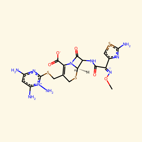 CO/N=C(\C(=O)NC1C(=O)N2C(C(=O)[O-])=C(CSc3nc(N)cc(N)[n+]3N)CS[C@H]12)c1csc(N)n1